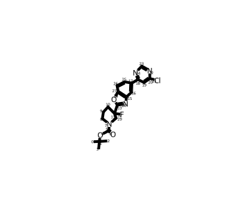 CC(C)(C)OC(=O)N1CCCC(F)(c2nc3cc(-c4cc(Cl)ncn4)ccc3o2)C1